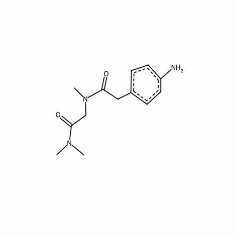 CN(C)C(=O)CN(C)C(=O)Cc1ccc(N)cc1